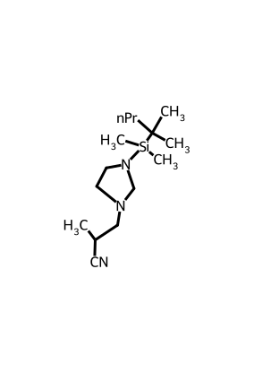 CCCC(C)(C)[Si](C)(C)N1CCN(CC(C)C#N)C1